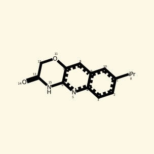 CC(C)c1ccc2nc3c(cc2c1)OCC(=O)N3